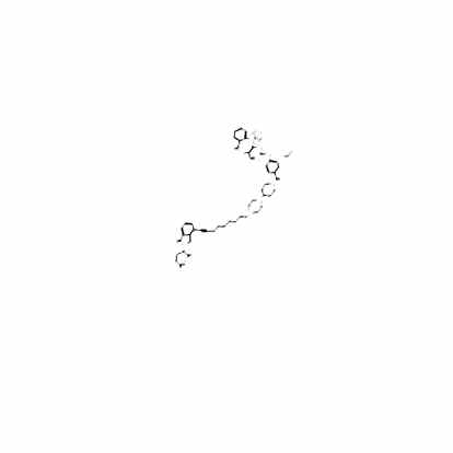 CCOc1cc(C(=O)N2CCC(N3CCN(CCCCCCCC#Cc4cccc5c4CN(C4CCC(=O)NC4=O)C5=O)CC3)CC2)ccc1Nc1ncc2c(n1)N(S(C)(=O)=O)c1ccccc1C(=O)N2C